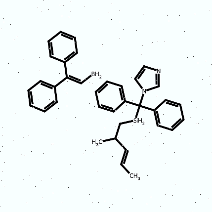 BC=C(c1ccccc1)c1ccccc1.CC=CC(C)C[SiH2]C(c1ccccc1)(c1ccccc1)n1ccnc1